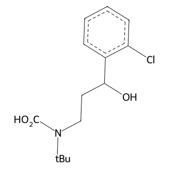 CC(C)(C)N(CCC(O)c1ccccc1Cl)C(=O)O